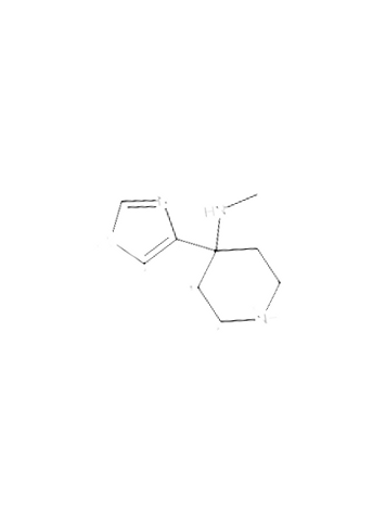 CNC1(c2cscn2)CCNCC1